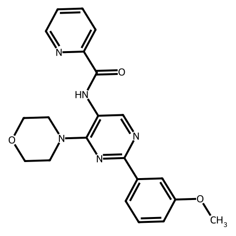 COc1cccc(-c2ncc(NC(=O)c3ccccn3)c(N3CCOCC3)n2)c1